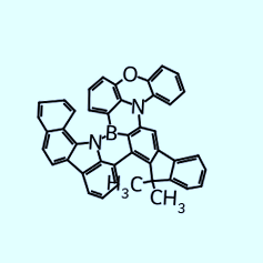 CC1(C)c2ccccc2-c2cc3c4c(c21)-c1cccc2c5ccc6ccccc6c5n(c12)B4c1cccc2c1N3c1ccccc1O2